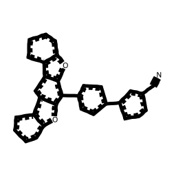 N#Cc1cccc(-c2ccc(-c3c4oc5ccccc5c4cc4c3oc3ccccc34)cc2)c1